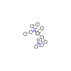 c1ccc(-c2ccc(N(c3ccc(-c4ccc5c(c4)C4(c6ccccc6-5)c5ccccc5-n5c6ccccc6c6cccc4c65)c4c3C3c5ccccc5C4c4ccccc43)c3cc4ccccc4c4ccccc34)cc2)cc1